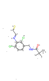 CC(C)(C(=O)NCc1ccc(Cl)c(N=CC=S)c1Cl)C(F)(F)F